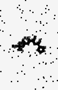 CN(CC(=O)OC(C)(C)C)C(=O)OC(=O)[C@@H]1CCCN1